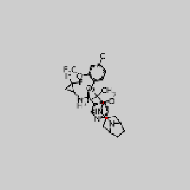 CC(C)(Oc1ccc(Cl)cc1OC(F)(F)F)C(=O)NC1CC2CCC(C1)N2c1ccc(C(=O)NC2CC2(F)F)cn1